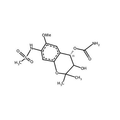 COc1cc2c(cc1NS(C)(=O)=O)OC(C)(C)C(O)[C@H]2OC(N)=O